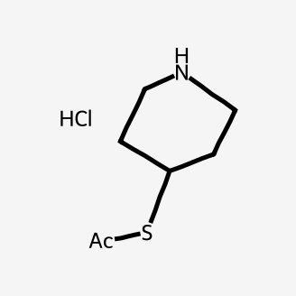 CC(=O)SC1CCNCC1.Cl